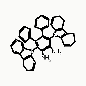 Nc1c(N)c(-n2c3c(c4ccccc42)CCC=C3)c(-c2ccccc2)c(-c2ccccc2)c1-n1c2c(c3c1C=CCC3)CCC=C2